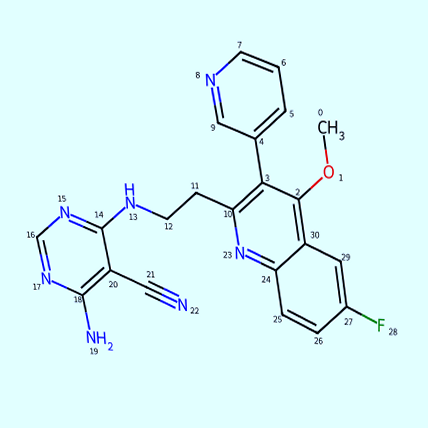 COc1c(-c2cccnc2)c(CCNc2ncnc(N)c2C#N)nc2ccc(F)cc12